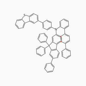 c1ccc(-c2ccc(-c3ccccc3N(c3ccc(-c4ccc5sc6ccccc6c5c4)cc3)c3ccc4c(c3)C(c3ccccc3)(c3ccccc3)c3cc(-c5ccccc5)ccc3-4)cc2)cc1